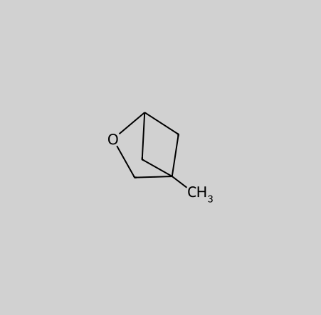 CC12COC(C1)C2